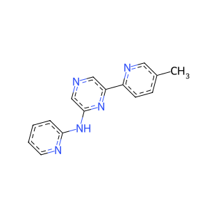 Cc1ccc(-c2cncc(Nc3ccccn3)n2)nc1